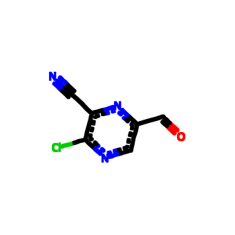 N#Cc1nc(C=O)cnc1Cl